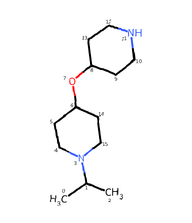 CC(C)N1CCC(OC2CCNCC2)CC1